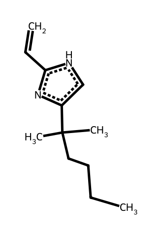 C=Cc1nc(C(C)(C)CCCC)c[nH]1